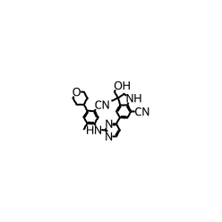 Cc1cc(C2CCOCC2)c(C#N)cc1Nc1nccc(-c2cc(C#N)c3c(c2)C(C)(CO)CN3)n1